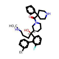 CCc1cccc(-c2c(F)cccc2[C@](O)(CCCNC(=O)O)[C@@H]2CCCN(C(=O)C3(c4ccccc4)CCNCC3)C2)c1